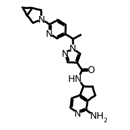 CC(c1ccc(N2CC3CC3C2)nc1)n1cc(C(=O)NC2CCc3c2ccnc3N)cn1